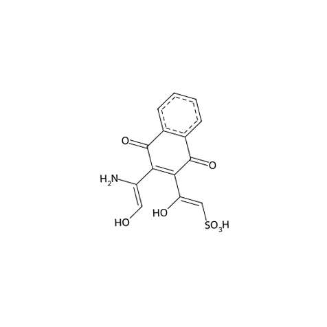 N/C(=C\O)C1=C(/C(O)=C/S(=O)(=O)O)C(=O)c2ccccc2C1=O